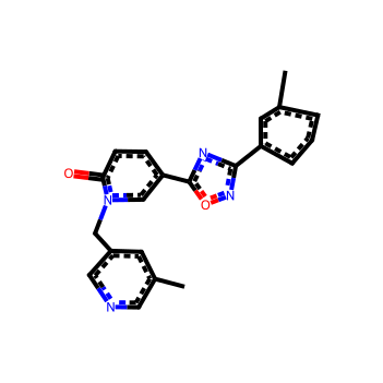 Cc1cncc(Cn2cc(-c3nc(-c4cccc(C)c4)no3)ccc2=O)c1